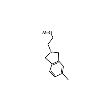 COCCN1Cc2ccc(C)cc2C1